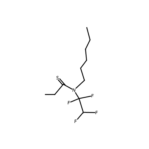 CCCCCCN(C(=S)CC)C(F)(F)[C](F)F